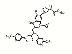 Cc1ccc(N2CCC[C@H](N(Cc3ccnc(C)c3)Cc3cn(C4CC4)c4cc(N5CC[C@@H](NC(=O)OC(C)(C)C)C5)c(F)cc4c3=O)C2)cn1